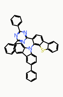 c1ccc(-c2ccc3c(c2)c2ccccc2n3-c2c(-c3nc(-c4ccccc4)nc(-c4ccccc4)n3)ccc3c2sc2ccccc23)cc1